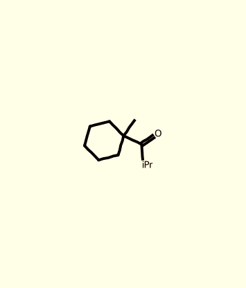 CC(C)C(=O)C1(C)CCCCC1